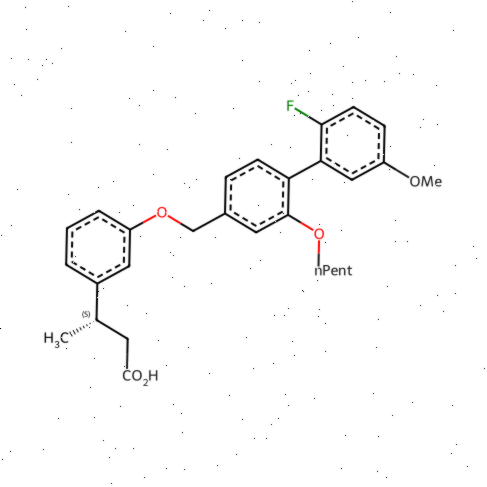 CCCCCOc1cc(COc2cccc([C@@H](C)CC(=O)O)c2)ccc1-c1cc(OC)ccc1F